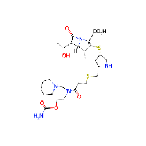 C[C@@H](O)[C@H]1C(=O)N2C(C(=O)O)=C(S[C@@H]3CN[C@H](CSCCC(=O)N(CCOC(N)=O)CN4CCCCC4)C3)[C@H](C)[C@H]12